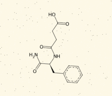 NC(=O)[C@H](Cc1ccccc1)NC(=O)CCC(=O)O